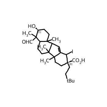 CC(C)(C)CC[C@]1(C(=O)O)CCC2(C)C(=CC3C4(C)CC[C@H](O)C(C)(C=O)C4CCC32C)C1I